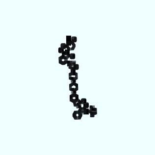 O=C1CCC(N2C(=O)c3cccc(NCC(=O)N4CCN(C5CCN(c6ccc7c(c6)C(=O)N(C(C(=O)Nc6nccs6)c6ccccc6)C7)CC5)CC4)c3C2=O)C(=O)N1